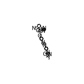 CCC(C)n1ncn(-c2ccc(N3CCN(c4ccc(OC[C@@H]5CO[C@@](Cn6nccn6)(C6(C)C=CC=CC6C#N)O5)cc4)CC3)cc2)c1=O